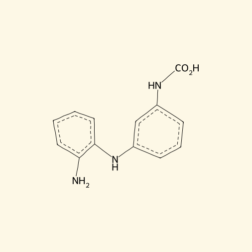 Nc1ccccc1Nc1cccc(NC(=O)O)c1